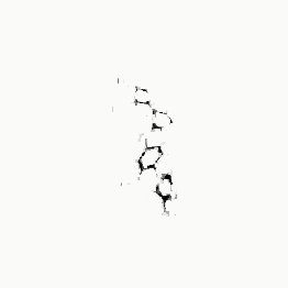 COc1cc(Nc2nccc(-c3ncc(C)nc3C)n2)ccc1-n1cnc(C)c1